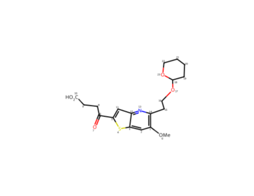 COc1cc2sc(C(=O)CCC(=O)O)cc2nc1CCOC1CCCCO1